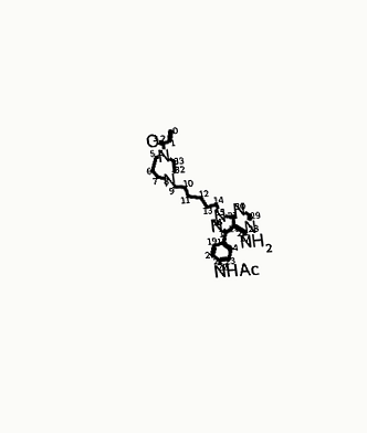 C=CC(=O)N1CCCN(CCCCCCn2nc(-c3ccc(NC(C)=O)cc3)c3c(N)ncnc32)CC1